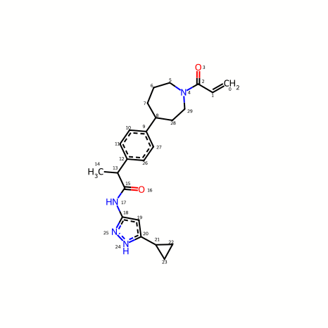 C=CC(=O)N1CCCC(c2ccc(C(C)C(=O)Nc3cc(C4CC4)[nH]n3)cc2)CC1